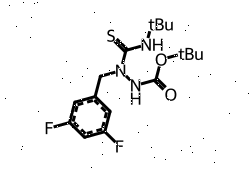 CC(C)(C)NC(=S)N(Cc1cc(F)cc(F)c1)NC(=O)OC(C)(C)C